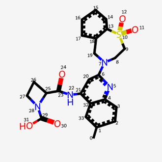 Cc1ccc2nc(N3CCS(=O)(=O)c4ccccc4C3)cc(NC(=O)C3CCN3C(=O)O)c2c1